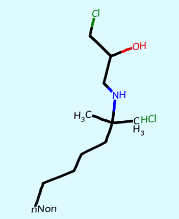 CCCCCCCCCCCCCC(C)(C)NCC(O)CCl.Cl